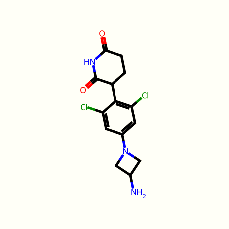 NC1CN(c2cc(Cl)c(C3CCC(=O)NC3=O)c(Cl)c2)C1